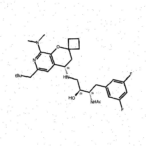 CC(=O)N[C@@H](Cc1cc(F)cc(F)c1)[C@@H](O)CN[C@H]1CC2(CCC2)Oc2c1cc(CC(C)(C)C)nc2N(C)C